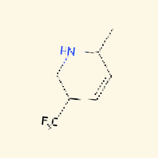 CC1C=CC(C(F)(F)F)CN1